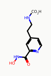 O=C(O)NCCc1ccnc(C(=O)NO)c1